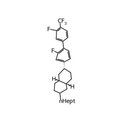 CCCCCCCC1CC[C@@H]2C[C@H](c3ccc(-c4ccc(C(F)(F)F)c(F)c4)c(F)c3)CC[C@@H]2C1